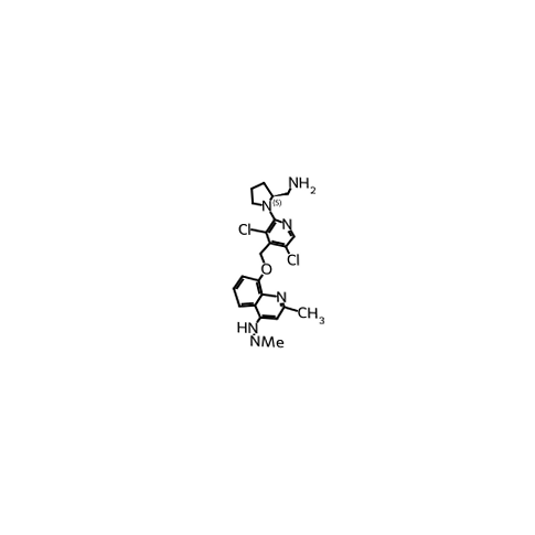 CNNc1cc(C)nc2c(OCc3c(Cl)cnc(N4CCC[C@H]4CN)c3Cl)cccc12